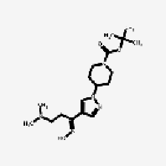 CN(C)CC/C(=N\O)c1cnn(C2CCN(C(=O)OC(C)(C)C)CC2)c1